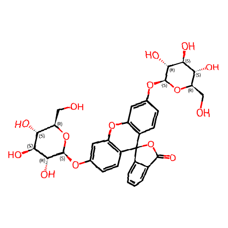 O=C1OC2(c3ccc(O[C@@H]4O[C@H](CO)[C@@H](O)[C@H](O)[C@H]4O)cc3Oc3cc(O[C@@H]4O[C@H](CO)[C@@H](O)[C@H](O)[C@H]4O)ccc32)c2ccccc21